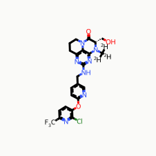 [2H]C([2H])([2H])N1c2nc(NCc3ccc(Oc4ccc(C(F)(F)F)nc4Cl)nc3)nc3c2N(CCC3)C(=O)[C@@H]1CO